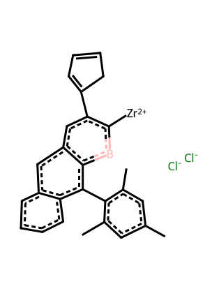 Cc1cc(C)c(-c2c3b[c]([Zr+2])c(C4=CC=CC4)cc3cc3ccccc23)c(C)c1.[Cl-].[Cl-]